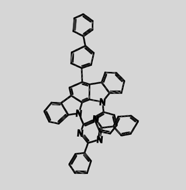 c1ccc(-c2ccc(-c3cc4c5ccccc5n(-c5nc(-c6ccccc6)nc(-c6ccccc6)n5)c4c4c3c3ccccc3n4-c3ccccc3)cc2)cc1